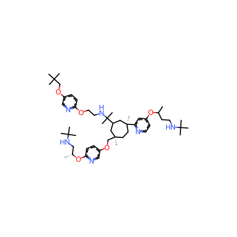 CC(CCNC(C)(C)C)Oc1ccnc([C@@]2(C)CC[C@@](C)(COc3ccc(O[C@H](C)CNC(C)(C)C)nc3)CC(C(C)(C)NCCOc3ccc(OCC(C)(C)C)cn3)C2)c1